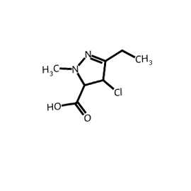 CCC1=NN(C)C(C(=O)O)C1Cl